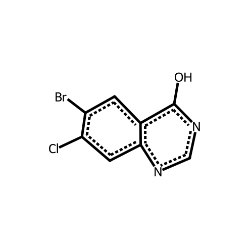 Oc1ncnc2cc(Cl)c(Br)cc12